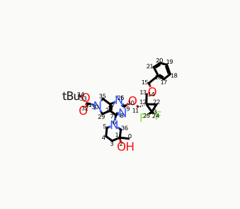 CC1(O)CCCN(c2nc(OC[C@]3(COCc4ccccc4)CC3(F)F)nc3c2CN(C(=O)OC(C)(C)C)C3)C1